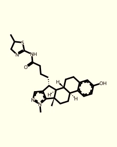 CC1CN=C(NC(=O)CCC[C@H]2c3cnn(C)c3[C@@]3(C)CC[C@@H]4c5ccc(O)cc5CC[C@H]4[C@H]23)S1